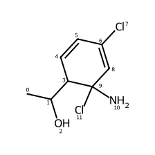 CC(O)C1C=CC(Cl)=CC1(N)Cl